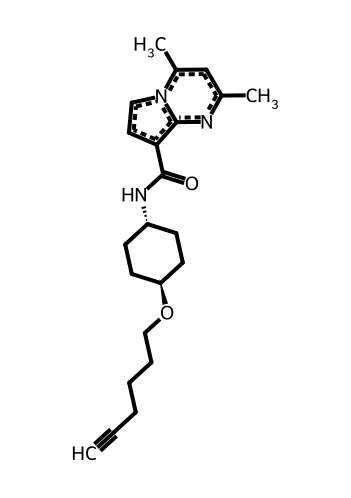 C#CCCCCO[C@H]1CC[C@H](NC(=O)c2ccn3c(C)cc(C)nc23)CC1